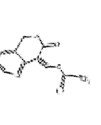 CC(=O)OC=C1C(=O)SCc2ccccc21